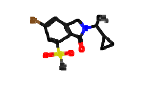 CCS(=O)(=O)c1cc(Br)cc2c1C(=O)N(C(C)C1CC1)C2